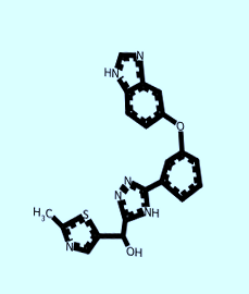 Cc1ncc(C(O)c2nnc(-c3cccc(Oc4ccc5[nH]cnc5c4)c3)[nH]2)s1